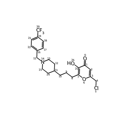 O=c1cc(CCl)oc(CCCC2CCN(Cc3ccc(C(F)(F)F)cc3)CC2)c1O